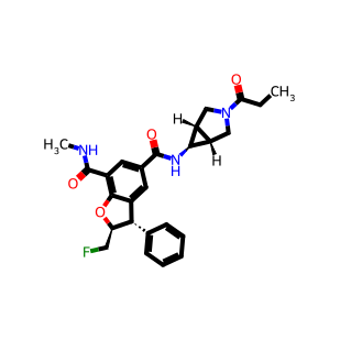 CCC(=O)N1C[C@@H]2[C@H](C1)[C@H]2NC(=O)c1cc(C(=O)NC)c2c(c1)[C@H](c1ccccc1)[C@@H](CF)O2